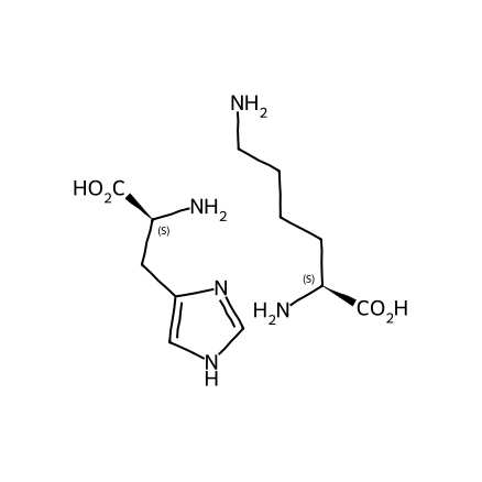 NCCCC[C@H](N)C(=O)O.N[C@@H](Cc1c[nH]cn1)C(=O)O